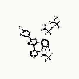 Brc1ccc(-c2nc3c([nH]2)-c2ccncc2Nc2ncccc2-3)cn1.O=C(O)C(F)(F)F.O=C(O)C(F)(F)F.O=C(O)C(F)(F)F